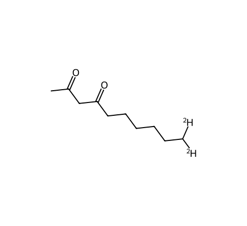 [2H]C([2H])CCCCCC(=O)CC(C)=O